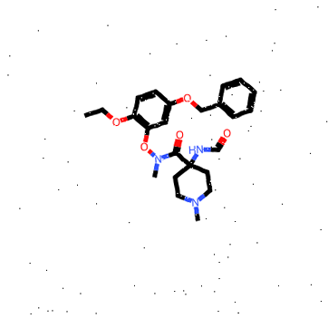 CCOc1ccc(OCc2ccccc2)cc1ON(C)C(=O)C1(NC=O)CCN(C)CC1